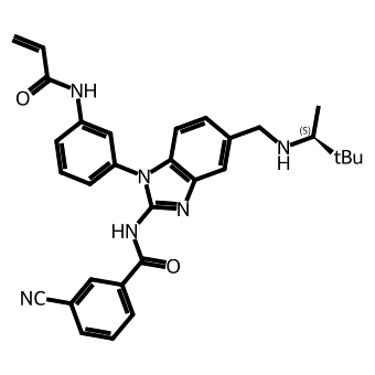 C=CC(=O)Nc1cccc(-n2c(NC(=O)c3cccc(C#N)c3)nc3cc(CN[C@@H](C)C(C)(C)C)ccc32)c1